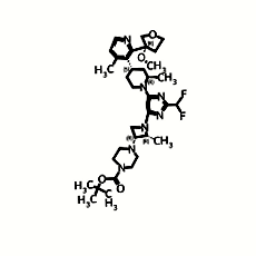 CO[C@@]1(c2nccc(C)c2[C@H]2CCN(c3cc(N4C[C@@H](N5CCN(C(=O)OC(C)(C)C)CC5)[C@H]4C)nc(C(F)F)n3)[C@H](C)C2)CCOC1